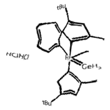 CC1=[C]([Hf]([CH3])(=[GeH2])([C]2=C(C)C=C(C(C)(C)C)C2)[c]2ccccc2)CC(C(C)(C)C)=C1.Cl.Cl